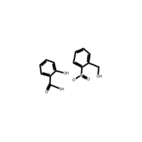 O=C(S)c1ccccc1O.O=[N+]([O-])c1ccccc1CO